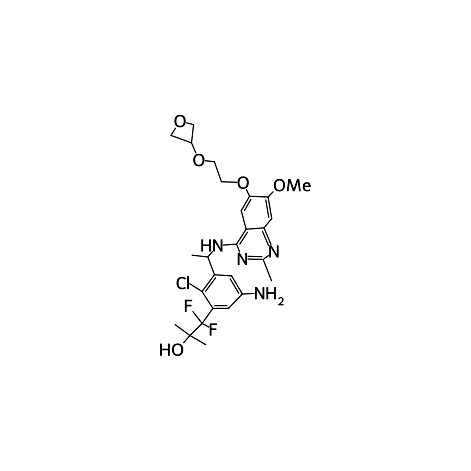 COc1cc2nc(C)nc(NC(C)c3cc(N)cc(C(F)(F)C(C)(C)O)c3Cl)c2cc1OCCOC1COC1